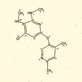 CNc1nc(Oc2cnc(C)cc2C)cc(Cl)c1NC